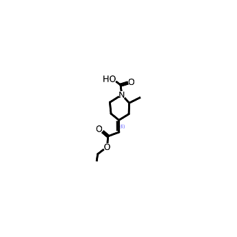 CCOC(=O)/C=C1\CCN(C(=O)O)C(C)C1